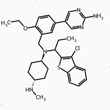 CCOc1ccc(-c2cnc(N)nc2)cc1CN(C(CC)c1sc2ccccc2c1Cl)[C@H]1CC[C@H](NC)CC1